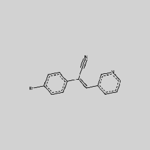 N#CC(=Cc1cccnc1)c1ccc(Br)cc1